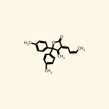 C=C1/C(=C\C=C/C)C(=O)OC1(c1ccc(C)cc1)c1ccc(C)cc1